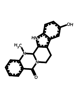 CN1c2ccccc2C(=O)N2CCc3c([nH]c4ccc(O)cc34)C21